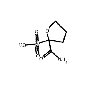 NC(=O)C1(S(=O)(=O)O)CCCO1